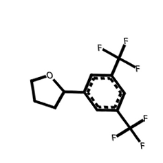 FC(F)(F)c1cc([C]2CCCO2)cc(C(F)(F)F)c1